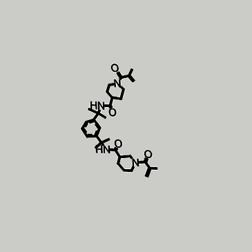 C=C(C)C(=O)N1CCC(C(=O)NC(C)(C)c2cccc(C(C)(C)NC(=O)C3CCCN(C(=O)C(=C)C)C3)c2)CC1